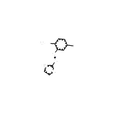 COc1ccc(I)cc1/N=N/c1ncc[nH]1